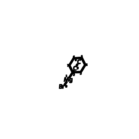 [Br][Mg][C]12CCC(CC1)CC2